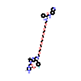 COC[C@H]1CN[C@H](C)CN1CC(=O)N1CC(C)(C)c2nc(CN(C)CCOCCOCCOCCOCCOCCOCCOCCNC[C@@H](C(=O)Nc3ccc4cnccc4c3)c3ccccc3)c(Cc3ccc(F)cc3)cc21